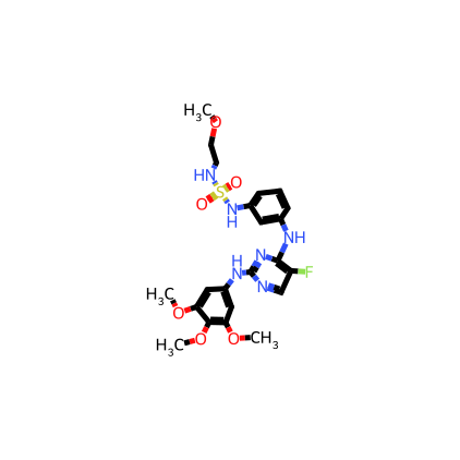 COCCNS(=O)(=O)Nc1cccc(Nc2nc(Nc3cc(OC)c(OC)c(OC)c3)ncc2F)c1